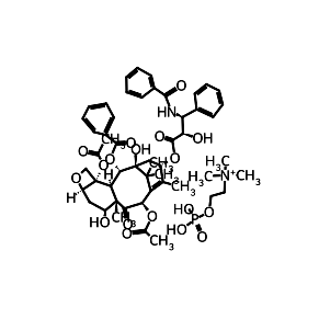 CC(=O)O[C@H]1C(=O)[C@@]2(C)[C@H]([C@H](OC(=O)c3ccccc3)[C@]3(O)C[C@H](OC(=O)[C@H](O)[C@@H](NC(=O)c4ccccc4)c4ccccc4)C(C)=C1C3(C)C)[C@]1(OC(C)=O)CO[C@@H]1C[C@@H]2O.C[N+](C)(C)CCOP(=O)(O)O